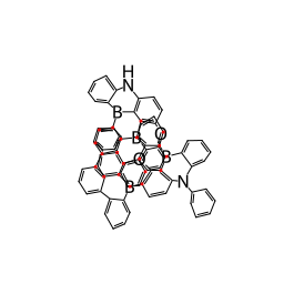 c1ccc(B2c3ccccc3Nc3ccc4c(c32)B(c2cccc(-c3cccc(-c5ccccc5B5c6ccccc6Oc6c5ccc5c6B(c6ccccc6-c6ccccc6)c6ccccc6N5c5ccccc5)c3)c2)c2ccccc2O4)cc1